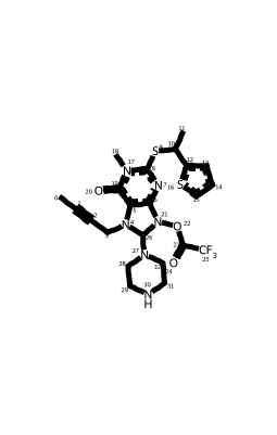 CC#CCN1c2c(nc(SC(C)c3cccs3)n(C)c2=O)N(OC(=O)C(F)(F)F)C1N1CCNCC1